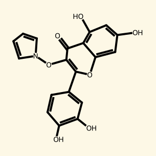 O=c1c(On2cccc2)c(-c2ccc(O)c(O)c2)oc2cc(O)cc(O)c12